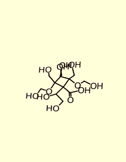 O=C(O)C(C(O)CO)(C(CO)(CO)OCO)C(CO)(CO)OCO